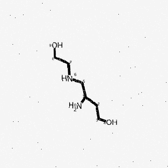 NC(CCO)CNCCO